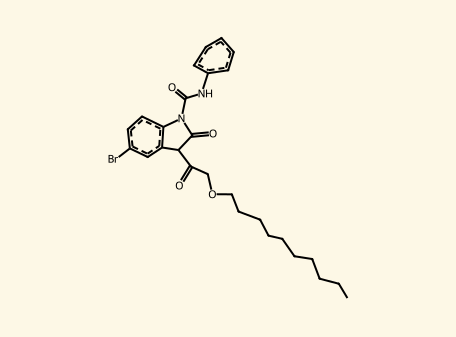 CCCCCCCCCCOCC(=O)C1C(=O)N(C(=O)Nc2ccccc2)c2ccc(Br)cc21